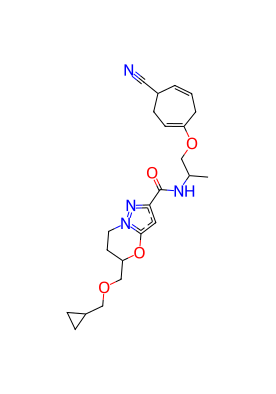 CC(COC1=CCC(C#N)C=CC1)NC(=O)c1cc2n(n1)CCC(COCC1CC1)O2